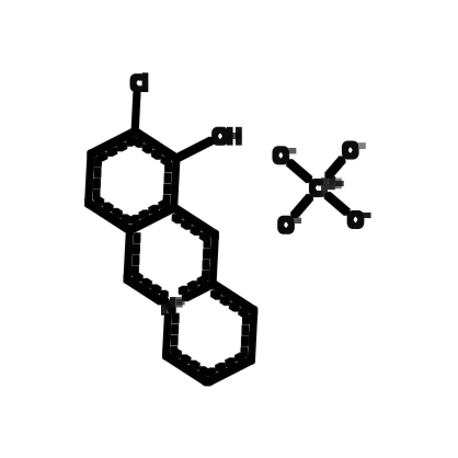 Oc1c(Cl)ccc2c[n+]3ccccc3cc12.[O-][Cl+3]([O-])([O-])[O-]